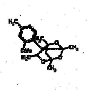 COc1cc(C)ccc1P1C2(C)CC3(C)OC(C)(CC1(C)O3)O2